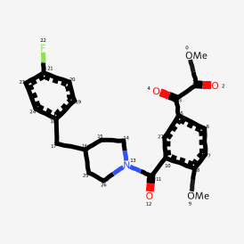 COC(=O)C(=O)c1ccc(OC)c(C(=O)N2CCC(Cc3ccc(F)cc3)CC2)c1